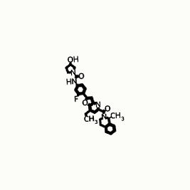 CCc1cc(C(=O)N2CCc3ccccc3[C@H]2C)nc2cc(-c3ccc(NC(=O)N4CCC(O)C4)cc3F)oc12